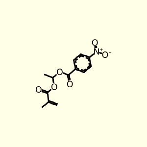 C=C(C)C(=O)OC(C)OC(=O)c1ccc([N+](=O)[O-])cc1